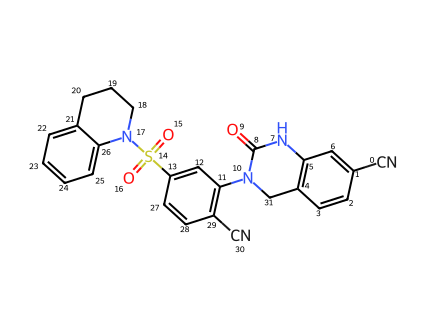 N#Cc1ccc2c(c1)NC(=O)N(c1cc(S(=O)(=O)N3CCCc4ccccc43)ccc1C#N)C2